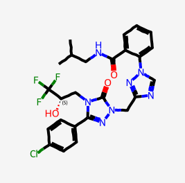 CC(C)CNC(=O)c1ccccc1-n1cnc(Cn2nc(-c3ccc(Cl)cc3)n(C[C@H](O)C(F)(F)F)c2=O)n1